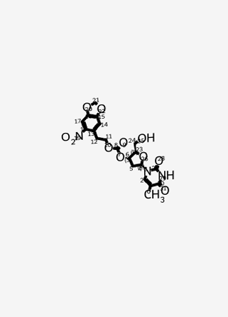 Cc1cn([C@H]2C[C@H](OC(=O)OCCc3cc4c(cc3[N+](=O)[O-])OCO4)[C@@H](CO)O2)c(=O)[nH]c1=O